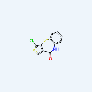 O=C1Nc2ccccc2Sc2c1csc2Cl